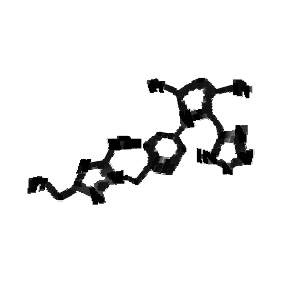 CCCCc1nc(CC(C)C)nn1Cc1ccc(-n2c(C(C)C)cc(C(C)C)c2-c2nnn[nH]2)cc1